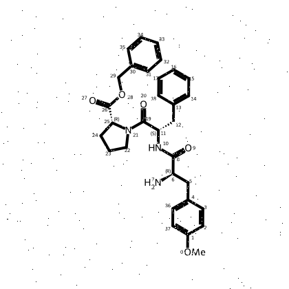 COc1ccc(C[C@@H](N)C(=O)N[C@@H](Cc2ccccc2)C(=O)N2CCC[C@@H]2C(=O)OCc2ccccc2)cc1